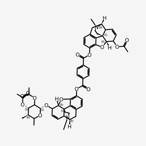 CC(=O)OC1[C@H](OC2C=CC3[C@H]4Cc5ccc(OC(=O)c6ccc(C(=O)Oc7ccc8c9c7O[C@H]7C(OC(C)=O)C=CC%10[C@@H](C8)N(C)CC[C@@]9%107)cc6)c6c5[C@@]3(CCN4C)[C@H]2O6)OC(C)[C@@H](C)[C@@H]1OC(C)=O